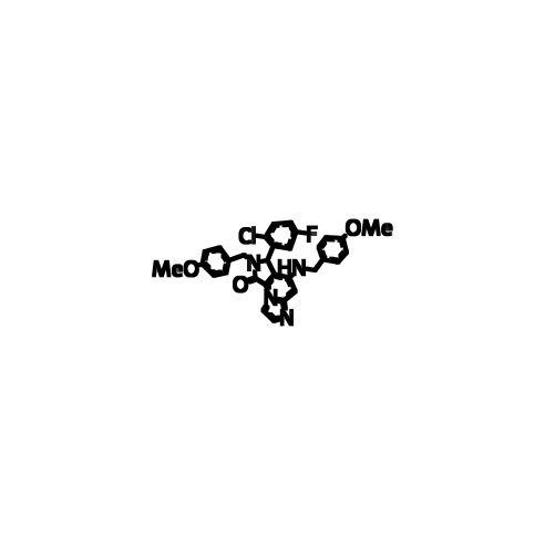 COc1ccc(CNc2cc3nccn3c3c2C(c2cc(F)ccc2Cl)N(Cc2ccc(OC)cc2)C3=O)cc1